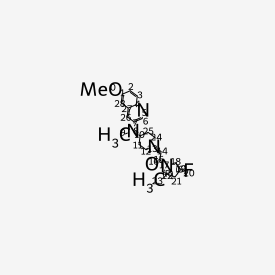 COc1ccc2ncc(N(C)C3CCN(CC(=O)N4C[C@@H](F)C[C@H]4C)CC3)cc2c1